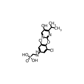 CC(C)c1nc(Oc2c(Cl)cc(NCP(=O)(O)O)cc2Cl)ncc1O